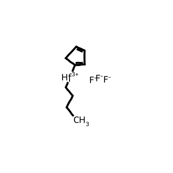 CCC[CH2][Hf+3][C]1=CC=CC1.[F-].[F-].[F-]